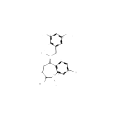 CC(=O)N(Cc1cc(C(F)(F)F)cc(C(F)(F)F)c1)C1CCC(C(C)C)N(C(=O)O)c2cc(Br)ccc21